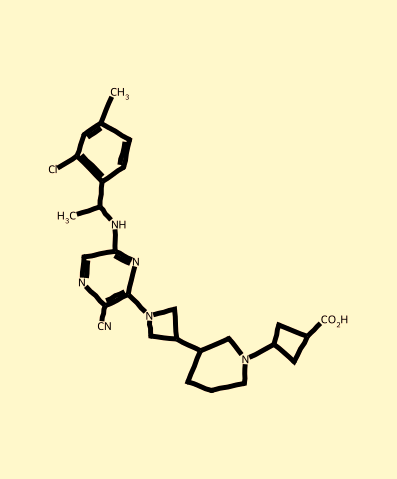 Cc1ccc(C(C)Nc2cnc(C#N)c(N3CC(C4CCCN(C5CC(C(=O)O)C5)C4)C3)n2)c(Cl)c1